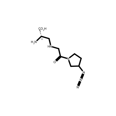 [N-]=[N+]=NC1CCN(C(=O)CNC[C@H](N)C(=O)O)C1